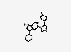 Cc1ccc(-c2cncn2-c2ccc3[nH]cc(C4CCCCC4)c3c2)cc1